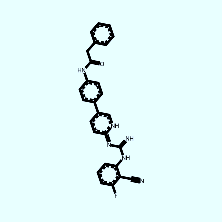 N#Cc1c(F)cccc1NC(=N)/N=c1/ccc(-c2ccc(NC(=O)Cc3ccccc3)cc2)c[nH]1